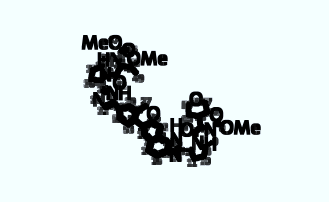 COC(=O)NC(C(=O)N1[C@@H](C)CC[C@H]1c1nc2ccc3cc4c(cc3c2[nH]1)OCc1cc(-c2cnc([C@@H]3CC[C@H](C)N3C(=O)C(NC(=O)OC)C(C)OC)[nH]2)ccc1-4)C1CCOCC1